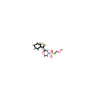 COCCS(=O)(=O)N1CCO[C@H](c2csc3ccccc23)C1